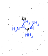 NN=C(N)N(N)N.[Zn]